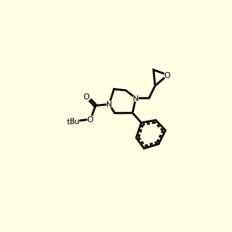 CC(C)(C)OC(=O)N1CCN(CC2CO2)C(c2ccccc2)C1